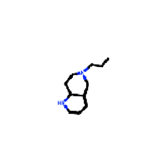 CCCN1CCC2NCCCC2C1